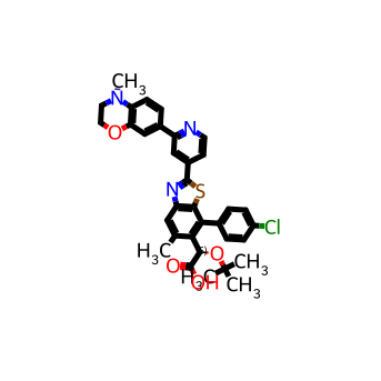 Cc1cc2nc(-c3ccnc(-c4ccc5c(c4)OCCN5C)c3)sc2c(-c2ccc(Cl)cc2)c1[C@H](OC(C)(C)C)C(=O)O